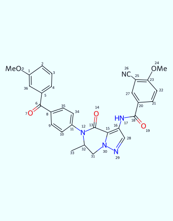 COc1cccc(C(=O)c2ccc(N3C(=O)c4c(NC(=O)c5ccc(OC)c(C#N)c5)cnn4CC3C)cc2)c1